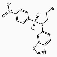 O=[N+]([O-])c1ccc(S(=O)(=O)N(CCBr)c2ccc3ncsc3c2)cc1